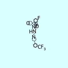 Fc1ccc(C2(c3noc(CNCCN4CCC(c5cccc(C(F)(F)F)c5)CC4)n3)CCOCC2)cc1